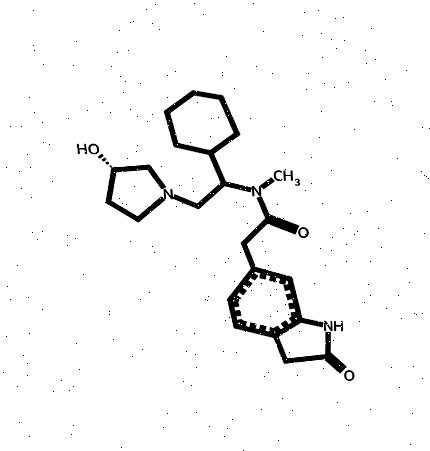 CN(C(=O)Cc1ccc2c(c1)NC(=O)C2)C(CN1CC[C@H](O)C1)C1CCCCC1